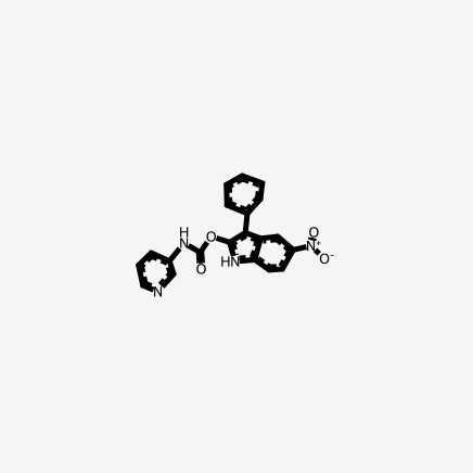 O=C(Nc1cccnc1)Oc1[nH]c2ccc([N+](=O)[O-])cc2c1-c1ccccc1